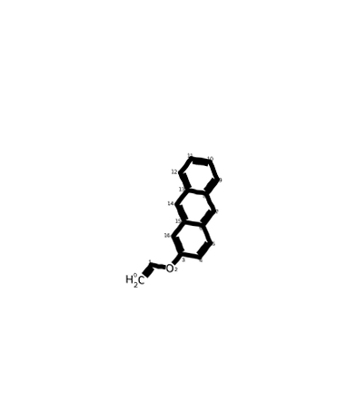 C=COc1ccc2cc3ccccc3cc2c1